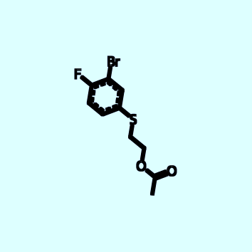 CC(=O)OCCSc1ccc(F)c(Br)c1